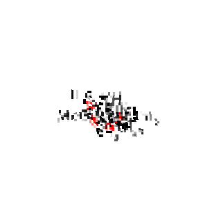 C=C[Si](C)(C)O[Si](C)(C=C)O[Si](C)(C)O[Si](OC)(OC)O[Si](C)(C)C=C